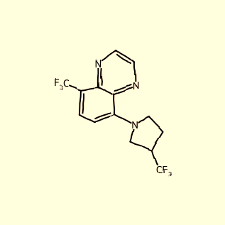 FC(F)(F)c1ccc(N2CCC(C(F)(F)F)C2)c2nccnc12